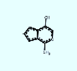 Cc1coc(C)c2c[c]cc1-2